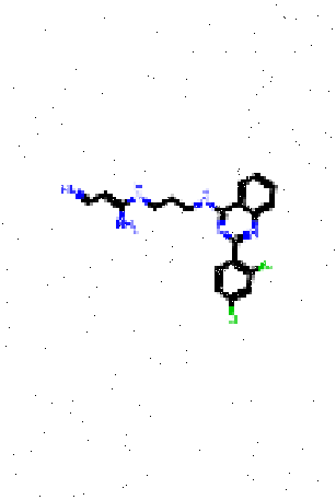 N=C/C=C(\N)NCCCNc1nc(-c2ccc(Cl)cc2Cl)nc2ccccc12